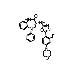 O=C1Nc2ccccc2N(c2ccccc2)C[C@@H]1Nc1nnc(-c2ccc(N3CCOCC3)cc2F)o1